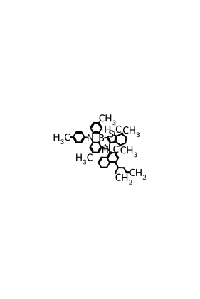 C=CCC(C=C)c1ccc(N2C3=CC(C)=CC4C3B(c3cc(C)ccc3N4c3c#cc(C)cc3)c3sc4c(c32)C(C)(C)CCC4(C)C)c2c1CCC=C2